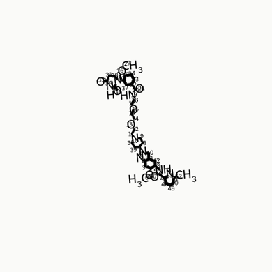 COc1cc2nn(C3CCN(CCOCCOCCNC(=O)c4ccc(OC)c(N5CCC(=O)NC5=O)c4)CC3)cc2cc1NC(=O)c1cccc(C)n1